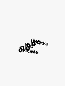 COc1cc2c(Oc3ccc(Nc4ccc(C(C)(C)C)cc4)cc3)ccnc2cc1OCCC1CCCN1C